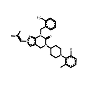 CC(C)=Cn1cc2c(n1)N(Cc1ccccc1C(F)(F)F)C(=O)N(C1CCN(c3c(C)cccc3F)CC1)C2